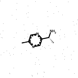 Cc1cnc([C@@H](C)N)cn1